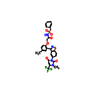 Cc1ccc(OCC(=O)NS(=O)(=O)Cc2ccccc2)c(-c2nsc3ccc(-n4c(=O)cc(C(F)(F)F)n(C)c4=O)cc23)c1